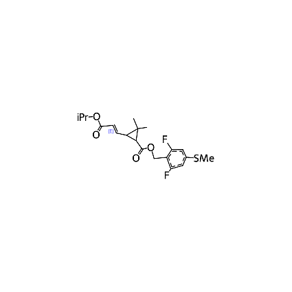 CSc1cc(F)c(COC(=O)C2C(/C=C/C(=O)OC(C)C)C2(C)C)c(F)c1